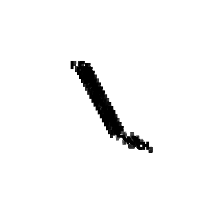 C[n+]1ccn(CCCC(F)(F)C(F)(F)C(F)(F)C(F)(F)C(F)(F)C(F)(F)C(F)(F)C(F)(F)C(F)(F)C(F)(F)C(F)(F)C(F)(F)C(F)(F)C(F)(F)C(F)(F)C(F)(F)C(F)(F)C(F)(F)F)c1